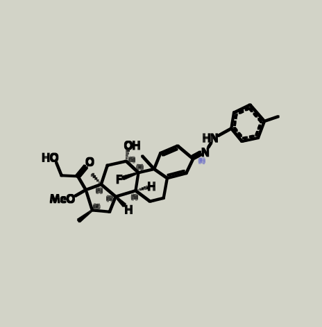 COC1(C(=O)CO)[C@H](C)C[C@H]2[C@@H]3CCC4=C/C(=N/Nc5ccc(C)cc5)C=CC4(C)[C@@]3(F)[C@@H](O)C[C@@]21C